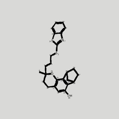 CC1(CCCSc2nc3ccccc3s2)CCc2cc(O)c3c(c2O1)C1CCC3C1